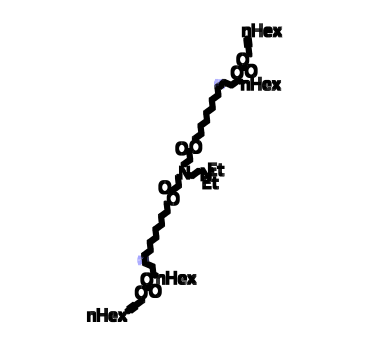 CCCCCCC#CCOC(=O)OC(C/C=C\CCCCCCCCOC(=O)CCN(CCC(=O)OCCCCCCCC/C=C\CC(CCCCCC)OC(=O)OCC#CCCCCCC)CCN(CC)CC)CCCCCC